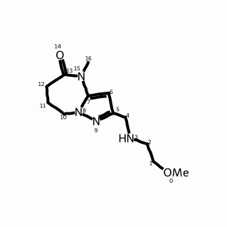 COCCNCc1cc2n(n1)CCCC(=O)N2C